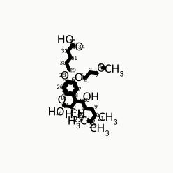 COCCCOc1cc(C([C@@H](C)C(=O)O)[C@H](O)[C@@H](N)C[C@H](C)C(C)C)ccc1OCCCCC(=O)O